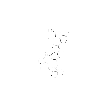 COCC1NCCC1N(C)c1nc(OC[C@@]23CCCN2C[C@H](F)C3)nc2c(Cl)c(-c3ccc(F)c4sc(N)c(C#N)c34)ncc12